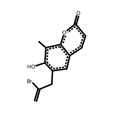 C=C(Br)Cc1cc2ccc(=O)oc2c(C)c1O